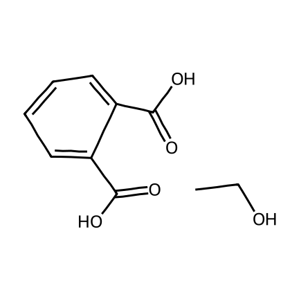 CCO.O=C(O)c1ccccc1C(=O)O